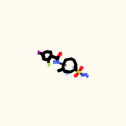 C=C1/C=C\C(S(N)(=O)=O)=C/CCC[C@H]1NC(=O)c1ccc(I)cc1F